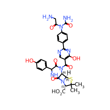 CC1(C)S[C@@H]2[C@H](N(C(=O)c3cnc(-c4ccc(N(C(N)=O)C(=O)CN)cc4)nc3O)C(=O)C(N)c3ccc(O)cc3)C(=O)N2[C@H]1C(=O)O